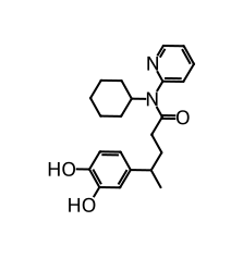 CC(CCC(=O)N(c1ccccn1)C1CCCCC1)c1ccc(O)c(O)c1